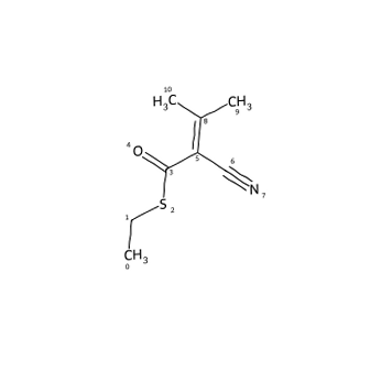 CCSC(=O)C(C#N)=C(C)C